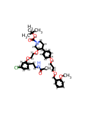 COc1ccccc1COCCCOc1ccc(C2CCN(C(=O)OC(C)(C)C)CC2OCCOc2cc(Cl)ccc2CCNC(C)=O)cc1